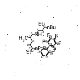 CCCCC(CC)CCNCC(C)CCC(CC)CCC.Fc1ccccc1-c1c(F)c(F)c(F)c(F)c1F